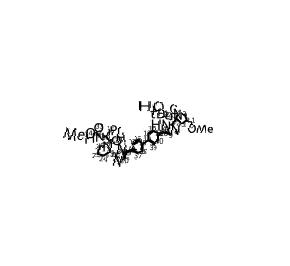 COC[C@@H]1CN(C(=O)O)[C@](c2ncc(-c3ccc(-c4ccc(-c5cnc([C@@H]6CCCN6C(=O)[C@@H](NC(=O)OC)C(C)C)[nH]5)cc4)cc3)[nH]2)(C(C)(C)C)C1